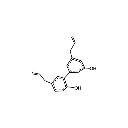 C=CCc1cc(O)cc(-c2cc(CC=C)ccc2O)c1